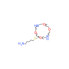 NCCCCCSC[C@@H]1COCCNCCOCCOCCNCCO1